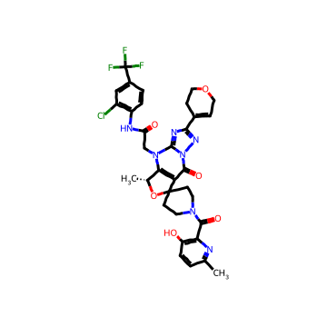 Cc1ccc(O)c(C(=O)N2CCC3(CC2)O[C@H](C)c2c3c(=O)n3nc(C4=CCOCC4)nc3n2CC(=O)Nc2ccc(C(F)(F)F)cc2Cl)n1